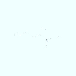 C.COC(=O)CCCN